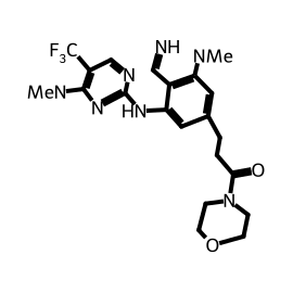 CNc1cc(CCC(=O)N2CCOCC2)cc(Nc2ncc(C(F)(F)F)c(NC)n2)c1C=N